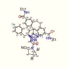 CCNC(=O)c1ccc2c(c1)CCc1cc(C(=O)NCC)ccc1C2(C[C@H](Cc1ccc(F)cc1)NCC(=O)N1C(C#N)C[C@@H]2C[C@@H]21)c1nnn[nH]1